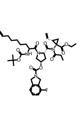 C=CCCCCCC(NC(=O)OC(C)(C)C)C(=O)N1C[C@H](OC(=O)N2Cc3cccc(F)c3C2)C[C@H]1C(=O)N(C(=O)CC)[C@]1(C(=O)OCC)C[C@H]1C=C